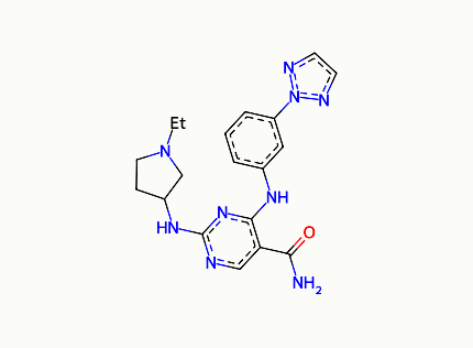 CCN1CCC(Nc2ncc(C(N)=O)c(Nc3cccc(-n4nccn4)c3)n2)C1